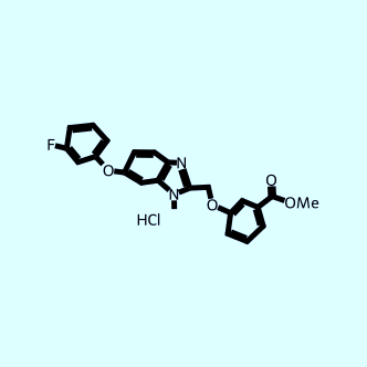 COC(=O)c1cccc(OCc2nc3ccc(Oc4cccc(F)c4)cc3n2C)c1.Cl